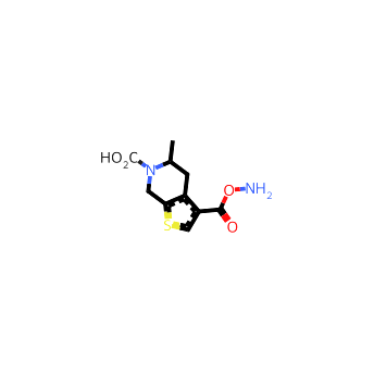 CC1Cc2c(C(=O)ON)csc2CN1C(=O)O